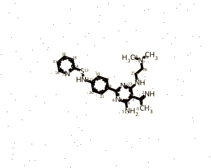 CC(=N)c1c(N)nc(-c2ccc(NSc3ccccn3)cc2)nc1NCCN(C)C